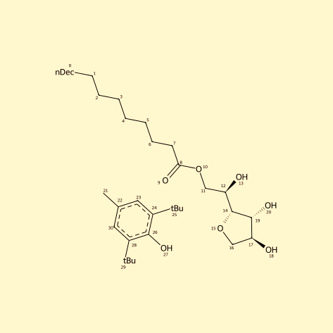 CCCCCCCCCCCCCCCCCC(=O)OC[C@@H](O)[C@H]1OC[C@H](O)[C@H]1O.Cc1cc(C(C)(C)C)c(O)c(C(C)(C)C)c1